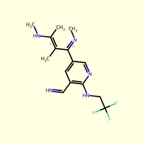 C/N=C(\C(C)=C(/C)NC)c1cnc(NCC(F)(F)F)c(C=N)c1